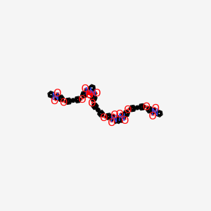 Cc1cc(C)c(N2C(=O)c3ccc(Oc4ccc(C(C)(C)c5ccc(Oc6ccc7c(c6)C(=O)N(C6CCCCC6N6C(=O)c8ccc(Oc9ccc(C(C)(C)c%10ccc(Oc%11ccc%12c(c%11)C(=O)N(C%11CCCCC%11)C%12=O)cc%10)cc9)cc8C6=O)C7=O)cc5)cc4)cc3C2=O)c(C)c1N1C(=O)c2ccc(Oc3ccc(C(C)(C)c4ccc(Oc5ccc6c(c5)C(=O)N(C5CCCCC5)C6=O)cc4)cc3)cc2C1=O